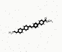 CCCC1CCC(C2CCC(C=Cc3ccc(C4CCC(C(=O)OC)CC4)cc3)CC2)CC1